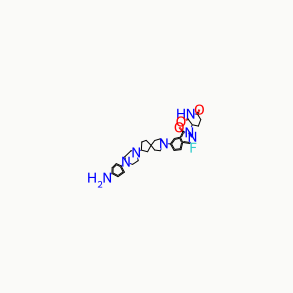 Nc1ccc(N2CCN(C3CCC4(CCN(c5ccc6c(F)nn(C7CCC(=O)NC7=O)c(=O)c6c5)CC4)C3)CC2)cc1